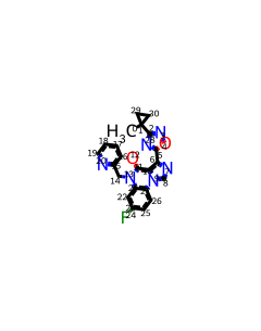 CC1(c2noc(-c3ncn4c3c(=O)n(Cc3ccccn3)c3cc(F)ccc34)n2)CC1